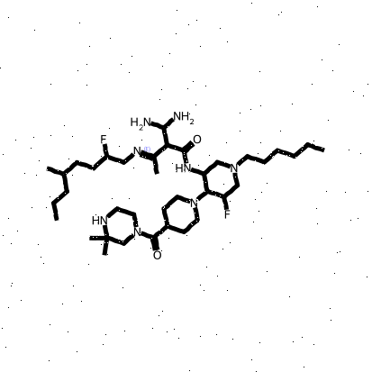 CCCCCCN1CC(F)C(N2CCC(C(=O)N3CCNC(C)(C)C3)CC2)C(NC(=O)C(/C(C)=N/CC(F)CCC(C)CCC)C(N)N)C1